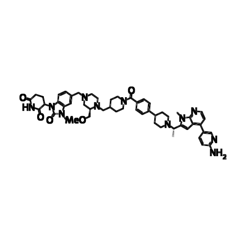 COC[C@H]1CN(Cc2ccc3c(c2)n(C)c(=O)n3C2CCC(=O)NC2=O)CCN1CC1CCN(C(=O)c2ccc(C3CCN([C@@H](C)c4cc5c(-c6ccc(N)nc6)ccnc5n4C)CC3)cc2)CC1